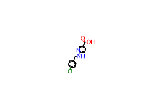 O=C(O)c1ccc(NCc2ccc(Cl)cc2)nc1